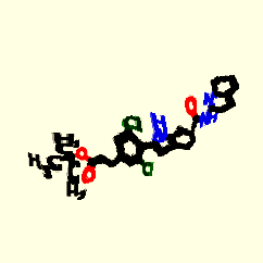 CC(C)(C)OC(=O)CCc1cc(Cl)c(-c2cc3ccc(C(=O)Nc4ccc5ccccc5n4)cc3[nH]2)c(Cl)c1